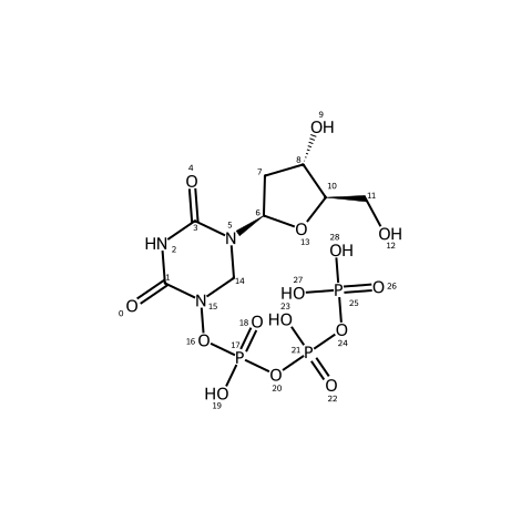 O=C1NC(=O)N([C@H]2C[C@H](O)[C@@H](CO)O2)CN1OP(=O)(O)OP(=O)(O)OP(=O)(O)O